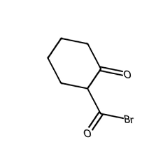 O=C(Br)C1CCCCC1=O